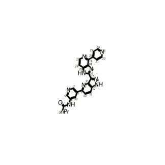 CCCC(=O)Nc1cncc(-c2ccc3[nH]nc(-c4nc5c(-c6ccncc6)nccc5[nH]4)c3n2)c1